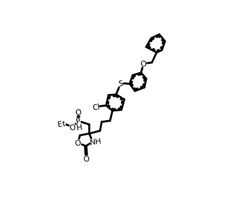 CCO[PH](=O)CC1(CCCc2ccc(Sc3cccc(OCc4ccccc4)c3)cc2Cl)COC(=O)N1